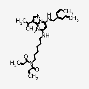 C=C/C=C(\C=C/C)CNc1cc(NCCCCCCN(C(=O)C=C)C(=O)C=C)nc2c(C(C)C)cnn12